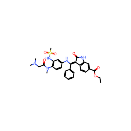 CCOC(=O)c1ccc2c(c1)NC(=O)/C2=C(\Nc1ccc(N(C)C(=O)CN(C)C)c(NS(C)(=O)=O)c1)c1ccccc1